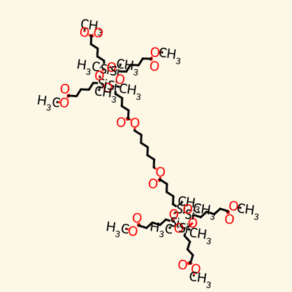 COC(=O)CCCC[Si]1(C)O[Si](C)(CCCCC(=O)OC)O[Si](C)(CCCCC(=O)OCCCCCCCOC(=O)CCCC[Si]2(C)O[Si](C)(CCCCC(=O)OC)O[Si](C)(CCCCC(=O)OC)O[Si](C)(CCCCC(=O)OC)O2)O[Si](C)(CCCCC(=O)OC)O1